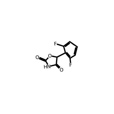 O=C1NC(=O)C(c2c(F)cccc2F)O1